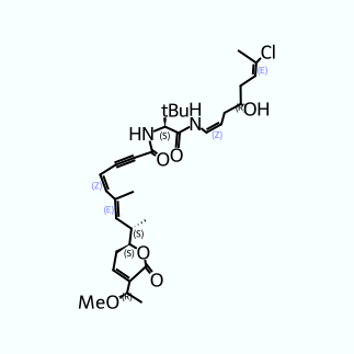 CO[C@H](C)C1=CC[C@@H]([C@@H](C)/C=C(C)/C=C\C#CC(=O)N[C@H](C(=O)N/C=C\C[C@@H](O)C/C=C(\C)Cl)C(C)(C)C)OC1=O